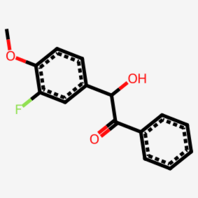 COc1ccc(C(O)C(=O)c2ccccc2)cc1F